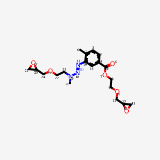 Cc1ccc(C(=O)OCCOCC2CO2)cc1/N=N/N(C)CCOCC1CO1